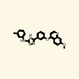 COc1ccc2c(Oc3cccc(-c4nnc(Nc5cccc(C)c5)[nH]4)c3)ccnc2c1